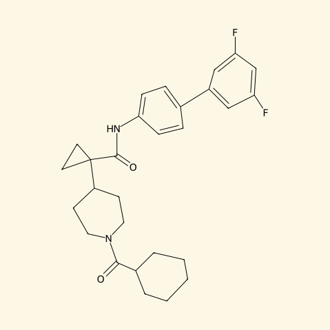 O=C(C1CCCCC1)N1CCC(C2(C(=O)Nc3ccc(-c4cc(F)cc(F)c4)cc3)CC2)CC1